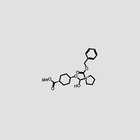 COC(=O)[C@H]1CC[C@@H](OC(O)[N+]2(C(=O)OCc3ccccc3)CCCC2)CC1